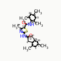 Cc1cc(C)c(CC(=O)Nc2nc(C)c(C(=O)Nc3c(C)cc(C)cc3C)s2)c(C)c1